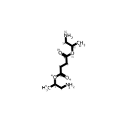 CC(CN)OC(=O)CCC(=O)OC(C)CN